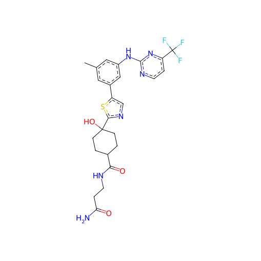 Cc1cc(Nc2nccc(C(F)(F)F)n2)cc(-c2cnc(C3(O)CCC(C(=O)NCCC(N)=O)CC3)s2)c1